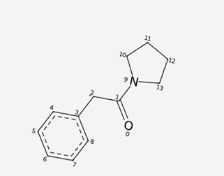 O=C([CH]c1ccccc1)N1CCCC1